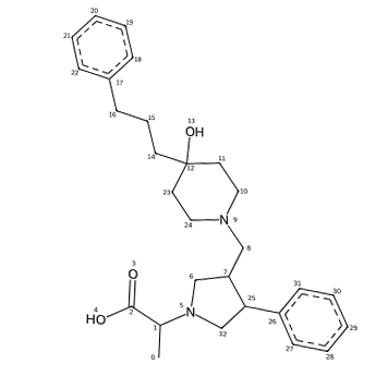 CC(C(=O)O)N1CC(CN2CCC(O)(CCCc3ccccc3)CC2)C(c2ccccc2)C1